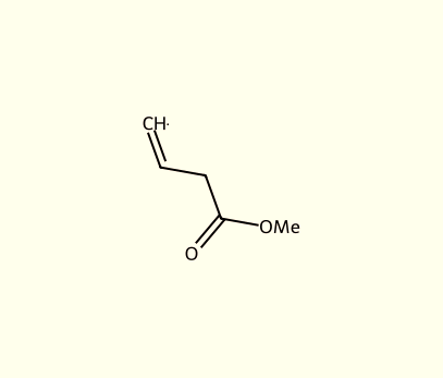 [CH]=CCC(=O)OC